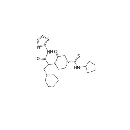 O=C(Nc1nccs1)C(CC1CCCCC1)N1CCN(C(=S)NC2CCCC2)CC1=O